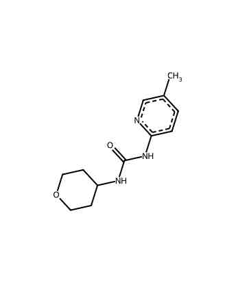 Cc1ccc(NC(=O)NC2CCOCC2)nc1